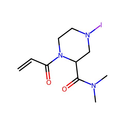 C=CC(=O)N1CCN(I)CC1C(=O)N(C)C